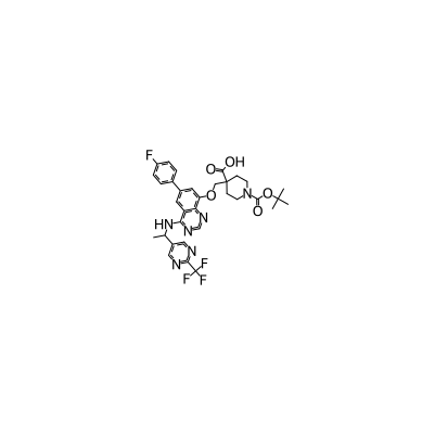 CC(Nc1ncnc2c(OCC3(C(=O)O)CCN(C(=O)OC(C)(C)C)CC3)cc(-c3ccc(F)cc3)cc12)c1cnc(C(F)(F)F)nc1